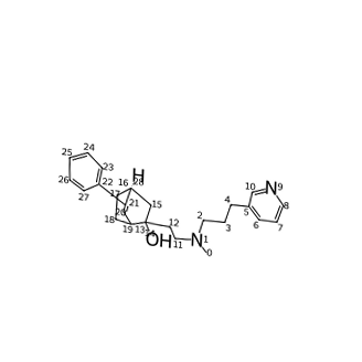 CN(CCCc1cccnc1)CCC1(O)C[C@@H]2CCC1C=C2c1ccccc1